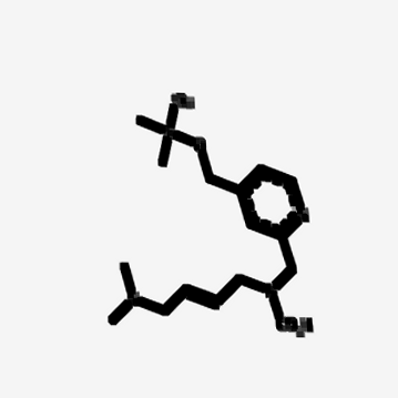 CN(C)CC=CCN(Cc1cc(CO[Si](C)(C)C(C)(C)C)ccn1)C(=O)O